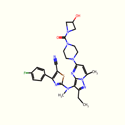 CCc1nn2c(C)cc(N3CCN(C(=O)N4CC(O)C4)CC3)nc2c1N(C)c1nc(-c2ccc(F)cc2)c(C#N)s1